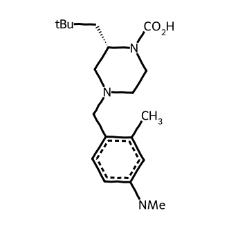 CNc1ccc(CN2CCN(C(=O)O)[C@@H](CC(C)(C)C)C2)c(C)c1